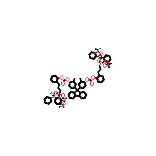 Cc1cc(C2(c3ccc(OC(=O)Oc4ccccc4CCC[Si](C)(O[Si](C)(C)C)O[Si](O[Si](C)(C)C)(c4ccccc4)c4ccccc4)c(C)c3)c3ccccc3-c3ccccc32)ccc1OC(=O)Oc1ccccc1CCC[Si](C)(O[Si](C)(C)O[Si](C)(C)C)O[Si](C)(c1ccccc1)c1ccccc1